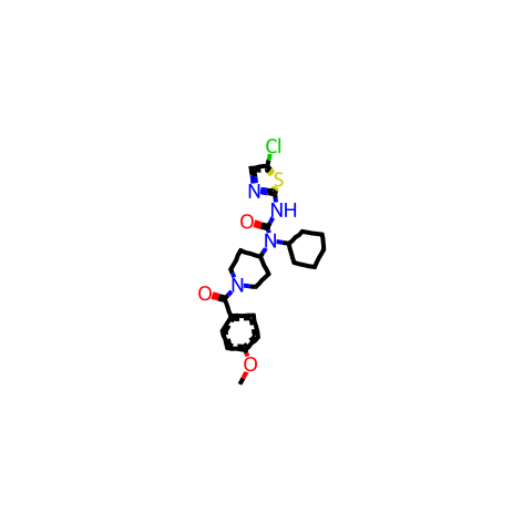 COc1ccc(C(=O)N2CCC(N(C(=O)Nc3ncc(Cl)s3)C3CCCCC3)CC2)cc1